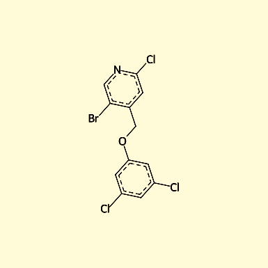 Clc1cc(Cl)cc(OCc2cc(Cl)ncc2Br)c1